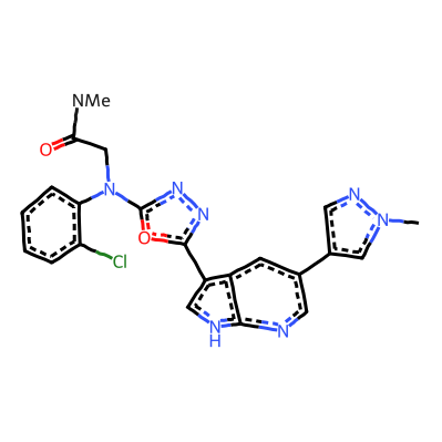 CNC(=O)CN(c1nnc(-c2c[nH]c3ncc(-c4cnn(C)c4)cc23)o1)c1ccccc1Cl